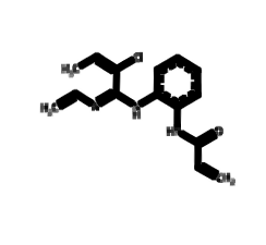 C=C/N=C(Nc1ccccc1NC(=O)C=C)\C(Cl)=C/C